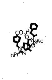 CCCc1nc2c(C)cc(C(=O)N(C(C)Cc3ccccc3)N(O)C(C)=O)cc2n1Cc1ccc(C(=O)O)cc1